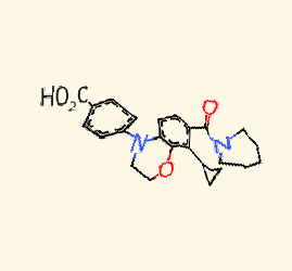 O=C(O)c1ccc(N2CCOc3c2ccc(C(=O)N2CCCCC2)c3C2CC2)cc1